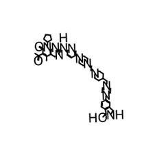 CC(=O)c1c(C)c2cnc(Nc3ccc(N4CCN(CCN5CCC(CN6CCN(c7ccc8c(c7)CNC8O)CC6)CC5)CC4)cn3)nc2n(C2CCCC2)c1=O